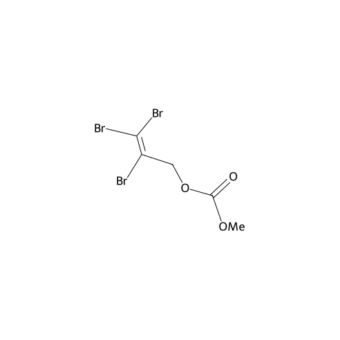 COC(=O)OCC(Br)=C(Br)Br